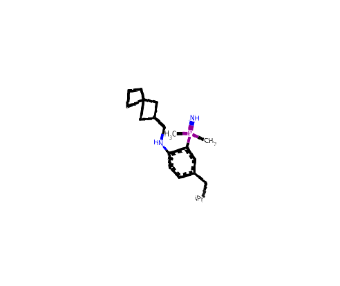 CC(C)Cc1ccc(NCC2CC3(CCC3)C2)c(P(C)(C)=N)c1